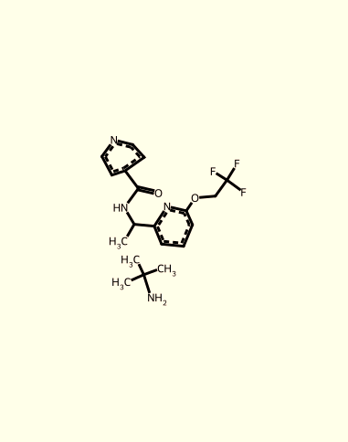 CC(C)(C)N.CC(NC(=O)c1ccncc1)c1cccc(OCC(F)(F)F)n1